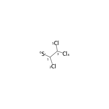 [S]C(Cl)C(Cl)Cl